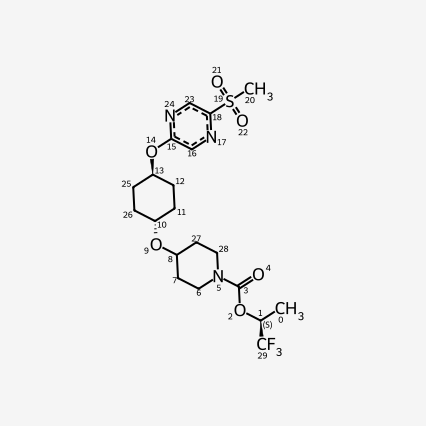 C[C@H](OC(=O)N1CCC(O[C@H]2CC[C@H](Oc3cnc(S(C)(=O)=O)cn3)CC2)CC1)C(F)(F)F